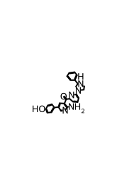 Nc1ncc(-c2ccc(O)cc2)cc1C(=O)c1cccc(N2CCNC(c3ccccc3)C2)n1